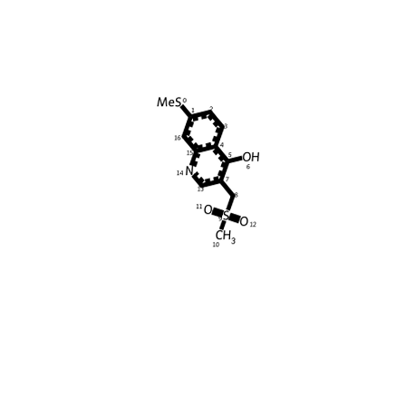 CSc1ccc2c(O)c(CS(C)(=O)=O)cnc2c1